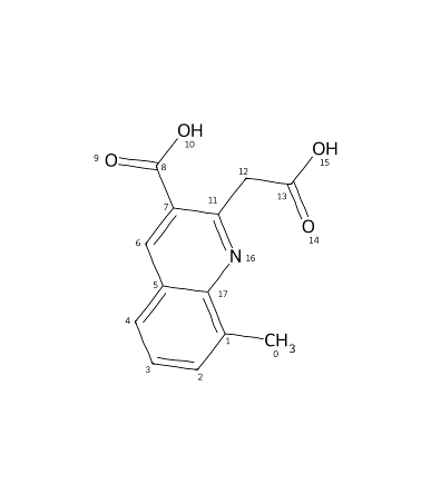 Cc1cccc2cc(C(=O)O)c(CC(=O)O)nc12